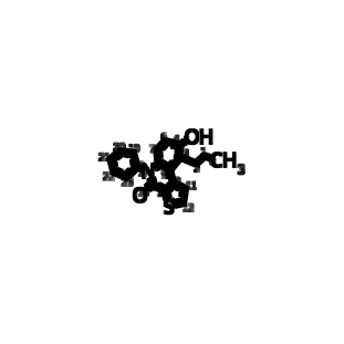 CCCc1c(O)ccc2c1c1ccsc1c(=O)n2-c1ccccc1